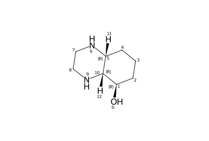 O[C@@H]1CCC[C@H]2NCCN[C@@H]12